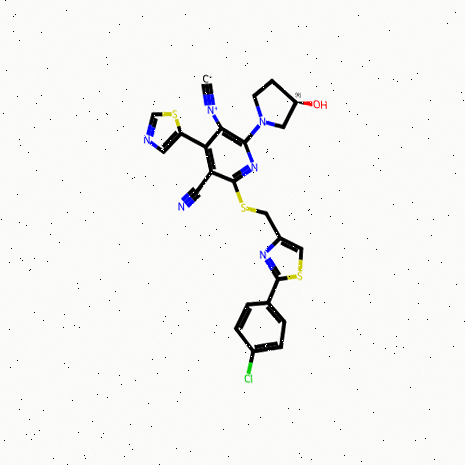 [C-]#[N+]c1c(N2CC[C@@H](O)C2)nc(SCc2csc(-c3ccc(Cl)cc3)n2)c(C#N)c1-c1cncs1